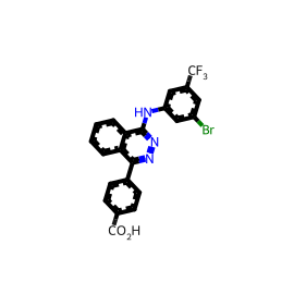 O=C(O)c1ccc(-c2nnc(Nc3cc(Br)cc(C(F)(F)F)c3)c3ccccc23)cc1